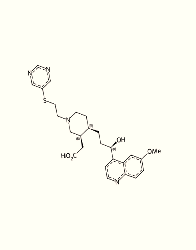 COc1ccc2nccc([C@H](O)CC[C@@H]3CCN(CCSc4cncnc4)C[C@@H]3CC(=O)O)c2c1